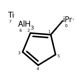 C[C](C)C1=CC=CC1.[AlH3].[Ti]